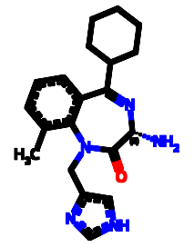 Cc1cccc2c1N(Cc1c[nH]cn1)C(=O)[C@@H](N)N=C2C1CCCCC1